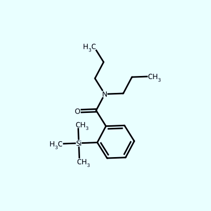 CCCN(CCC)C(=O)c1ccccc1[Si](C)(C)C